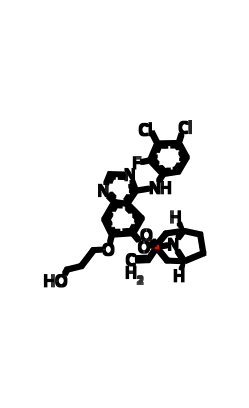 C=CC(=O)N1[C@@H]2CC[C@H]1C[C@@H](Oc1cc3c(Nc4ccc(Cl)c(Cl)c4F)ncnc3cc1OCCCO)C2